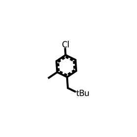 Cc1cc(Cl)ccc1CC(C)(C)C